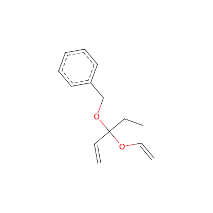 C=COC(C=C)(CC)OCc1ccccc1